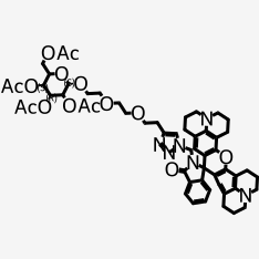 CC(=O)OCC1O[C@H](OCCOCCOCCc2cn(CN3C(=O)c4ccccc4C34c3cc5c6c(c3Oc3c4cc4c7c3CCCN7CCC4)CCCN6CCC5)nn2)C(OC(C)=O)[C@H](OC(C)=O)[C@H]1OC(C)=O